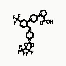 O=C(O)C1CCCN1C1CCN(c2cc(C(F)(F)F)ccc2CN2CCN(C(=O)OC(C(F)(F)F)C(F)(F)F)CC2)CC1